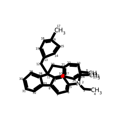 CCN(CC)c1ccc2c(c1)C(Cc1ccc(C)cc1)(Cc1ccc(C)cc1)c1ccccc1-2